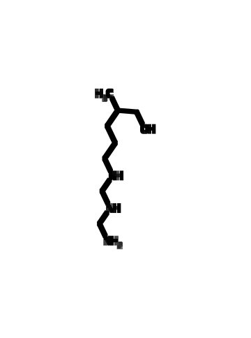 CC(CO)CCCNCNCN